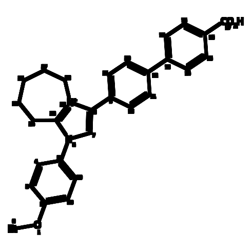 CCOc1ccc(-n2cc(-c3ccc(-c4ccc(C(=O)O)cc4)cc3)[n+]3c2CCCCC3)cc1